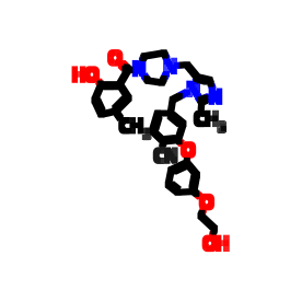 Cc1ccc(O)c(C(=O)N2CCN(Cc3cnc(C)n3Cc3ccc(C#N)c(Oc4cccc(OCCO)c4)c3)CC2)c1